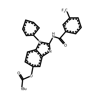 CC(C)(C)C(=O)Oc1ccc2c(c1)nc(NC(=O)c1cccc(C(F)(F)F)c1)n2-c1ccccc1